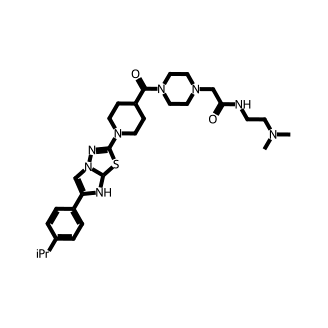 CC(C)c1ccc(C2=CN3N=C(N4CCC(C(=O)N5CCN(CC(=O)NCCN(C)C)CC5)CC4)SC3N2)cc1